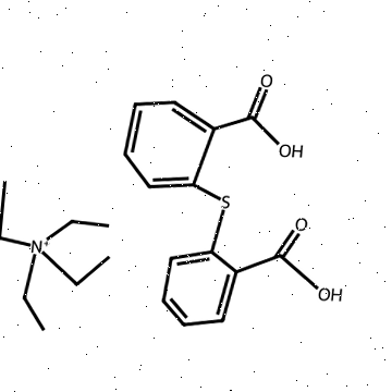 CC[N+](CC)(CC)CC.O=C(O)c1ccccc1Sc1ccccc1C(=O)O